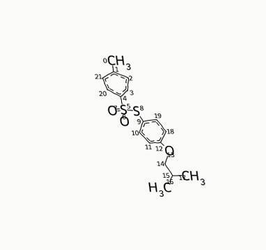 Cc1ccc(S(=O)(=O)Sc2ccc(OCC(C)C)cc2)cc1